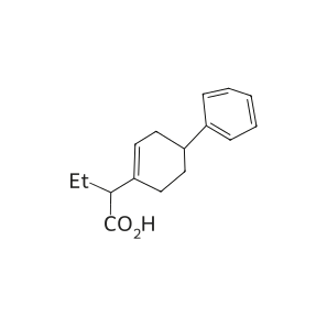 CCC(C(=O)O)C1=CCC(c2ccccc2)CC1